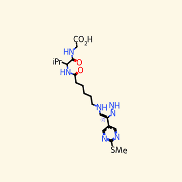 CSc1ncc(/C(=C/NCCCCCC(=O)NC(C(=O)NCC(=O)O)C(C)C)N=N)cn1